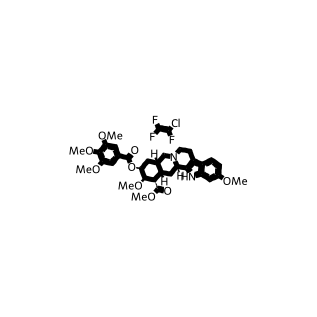 COC(=O)[C@H]1[C@H]2C[C@@H]3c4[nH]c5cc(OC)ccc5c4CCN3C[C@H]2C[C@@H](OC(=O)c2cc(OC)c(OC)c(OC)c2)[C@@H]1OC.FC(F)=C(F)Cl